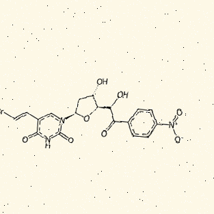 O=C(c1ccc([N+](=O)[O-])cc1)C(O)[C@H]1O[C@@H](n2cc(/C=C/Br)c(=O)[nH]c2=O)C[C@@H]1O